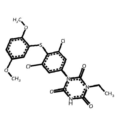 CCn1c(=O)[nH]c(=O)n(-c2cc(Cl)c(Sc3cc(OC)ccc3OC)c(Cl)c2)c1=O